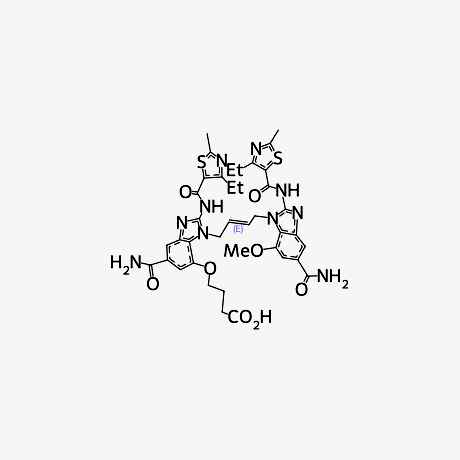 CCc1nc(C)sc1C(=O)Nc1nc2cc(C(N)=O)cc(OC)c2n1C/C=C/Cn1c(NC(=O)c2sc(C)nc2CC)nc2cc(C(N)=O)cc(OCCCC(=O)O)c21